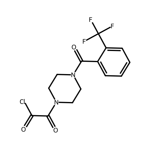 O=C(Cl)C(=O)N1CCN(C(=O)c2ccccc2C(F)(F)F)CC1